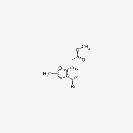 COC(=O)Cc1ccc(Br)c2cc(C)oc12